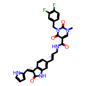 Cn1cc(C(=O)NC/C=C/c2ccc3c(c2)NC(=O)/C3=C\c2ccc[nH]2)c(=O)n(Cc2ccc(F)c(F)c2)c1=O